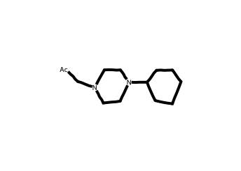 CC(=O)CN1CCN(C2CCCCC2)CC1